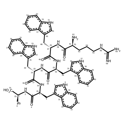 CC(C)[C@H](NC(=O)[C@H](Cc1c[nH]c2ccccc12)NC(=O)[C@H](Cc1c[nH]c2ccccc12)NC(=O)[C@H](Cc1c[nH]c2ccccc12)NC(=O)[C@H](Cc1c[nH]c2ccccc12)NC(=O)[C@@H](N)CCCNC(=N)N)C(=O)O